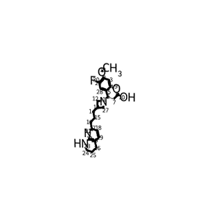 COc1ccc([C@H](CC(=O)O)N2CC(CCCc3ccc4c(n3)NCCC4)C2)cc1F